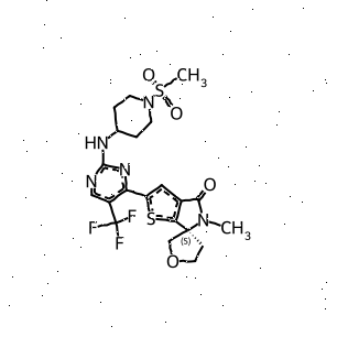 CN1C(=O)c2cc(-c3nc(NC4CCN(S(C)(=O)=O)CC4)ncc3C(F)(F)F)sc2[C@@]12CCOC2